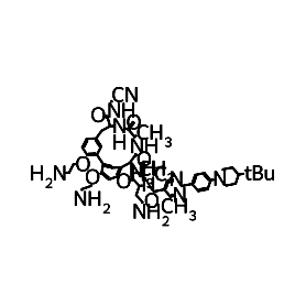 Cc1nc(-c2ccc(N3CCC(C(C)(C)C)CC3)cc2)nc(C)c1C(=O)NC(CCN)C(=O)N(C)C1C(=O)NC(C)C(=O)NC(C(=O)NCC#N)Cc2ccc(OCCN)c(c2)-c2cc1ccc2OCCN